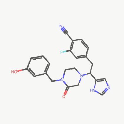 N#Cc1ccc(CC(c2cnc[nH]2)N2CCN(Cc3cccc(O)c3)C(=O)C2)cc1F